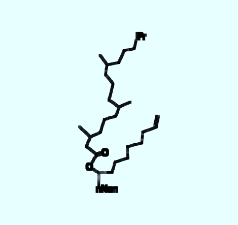 C=CCCCCCCC(CCCCCCCCC)OC(=O)CC(C)CCCC(C)CCCC(C)CCCC(C)C